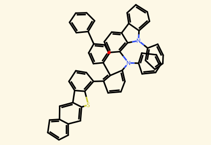 c1ccc(-c2ccc(-c3c(-c4cccc5c4sc4cc6ccccc6cc45)cccc3N(c3ccccc3)c3cccc4c5ccccc5n(-c5ccccc5)c34)cc2)cc1